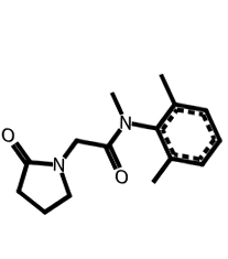 Cc1cccc(C)c1N(C)C(=O)CN1CCCC1=O